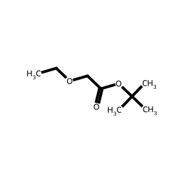 CCOCC(=O)OC(C)(C)C